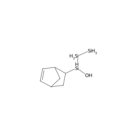 O[SiH]([SiH2][SiH3])C1CC2C=CC1C2